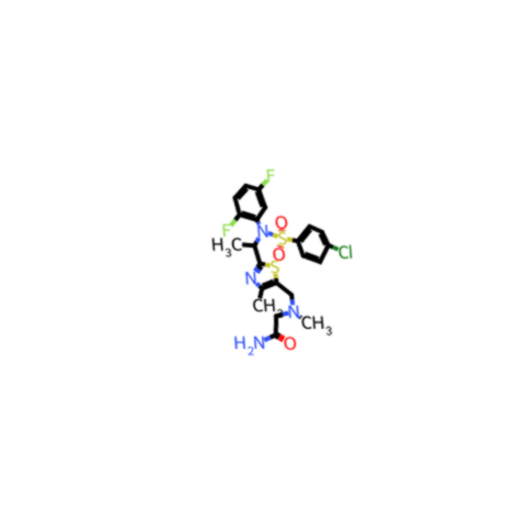 Cc1nc(C(C)N(c2cc(F)ccc2F)S(=O)(=O)c2ccc(Cl)cc2)sc1CN(C)CC(N)=O